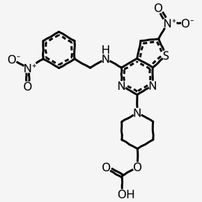 O=C(O)OC1CCN(c2nc(NCc3cccc([N+](=O)[O-])c3)c3cc([N+](=O)[O-])sc3n2)CC1